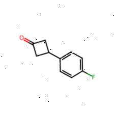 O=C1CC(c2ccc(F)cc2)C1